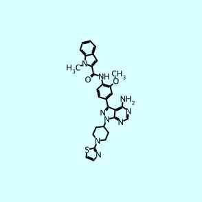 COc1cc(-c2nn(C3CCN(c4nccs4)CC3)c3ncnc(N)c23)ccc1NC(=O)c1cc2ccccc2n1C